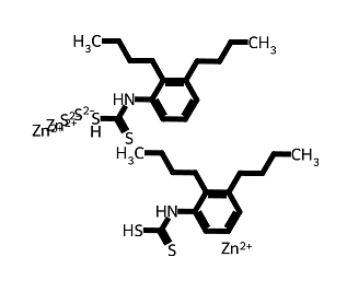 CCCCc1cccc(NC(=S)S)c1CCCC.CCCCc1cccc(NC(=S)S)c1CCCC.[S-2].[S-2].[Zn+2].[Zn+2].[Zn+2]